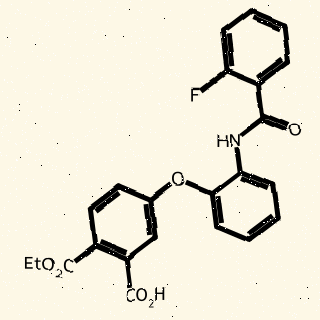 CCOC(=O)c1ccc(Oc2ccccc2NC(=O)c2ccccc2F)cc1C(=O)O